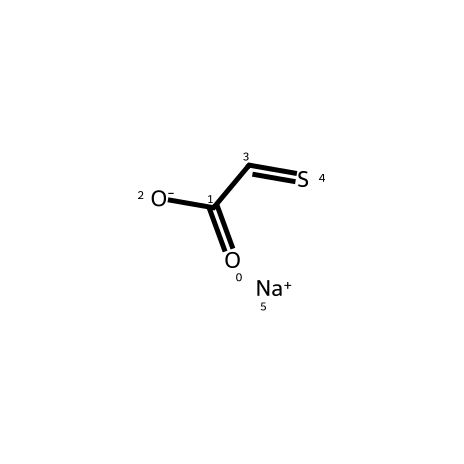 O=C([O-])C=S.[Na+]